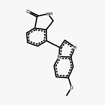 COc1ccn2c(-c3cccc4c3CNC4=O)cnc2c1